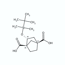 CC(C)(C)[Si](C)(C)O[C@@H]1C[C@]2(C(=O)O)CC[C@@]1(C(=O)O)C2